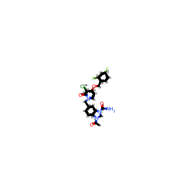 CC(=O)N1CN(C(N)=O)c2cc(Cn3ccc(OCc4ccc(F)cc4F)c(Cl)c3=O)ccc21